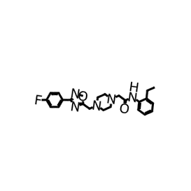 CCc1ccccc1NC(=O)CN1CCN(Cc2nc(-c3ccc(F)cc3)no2)CC1